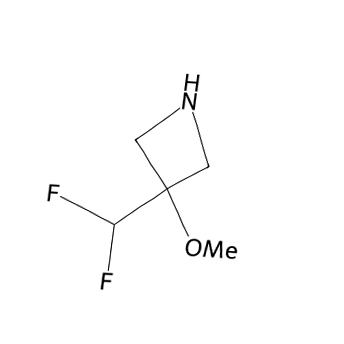 COC1(C(F)F)CNC1